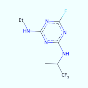 CCNc1nc(F)nc(NC(C)C(F)(F)F)n1